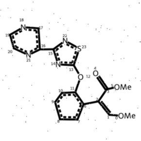 COC=C(C(=O)OC)c1ccccc1Oc1nc(-c2cnccn2)ns1